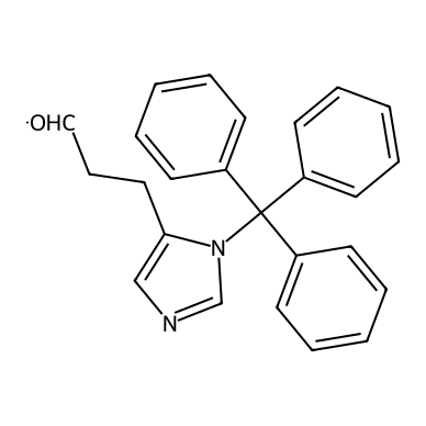 O=[C]CCc1cncn1C(c1ccccc1)(c1ccccc1)c1ccccc1